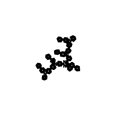 c1ccc(-c2ccc3c(c2)c2cc(-c4ccc5c(c4)c4cc(-c6ccccc6)ccc4n5-c4ccc(-c5nc(-c6cccc(-n7c8ccc(-c9ccccc9)cc8c8cc(-c9ccc%10c(c9)c9cc(-c%11ccccc%11)ccc9n%10-c9ccccc9)ccc87)c6)c6c(n5)-c5cccc7c(-c8ccccc8)ccc-6c57)cc4)ccc2n3-c2ccccc2)cc1